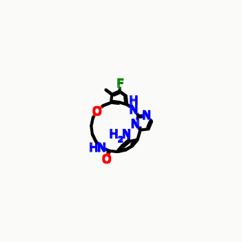 Cc1c(F)cc2cc1COCCCCNC(=O)c1ccc(c(N)c1)-c1ccnc(n1)N2